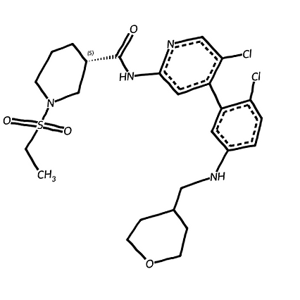 CCS(=O)(=O)N1CCC[C@H](C(=O)Nc2cc(-c3cc(NCC4CCOCC4)ccc3Cl)c(Cl)cn2)C1